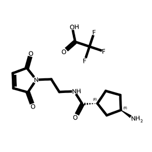 N[C@@H]1CC[C@@H](C(=O)NCCN2C(=O)C=CC2=O)C1.O=C(O)C(F)(F)F